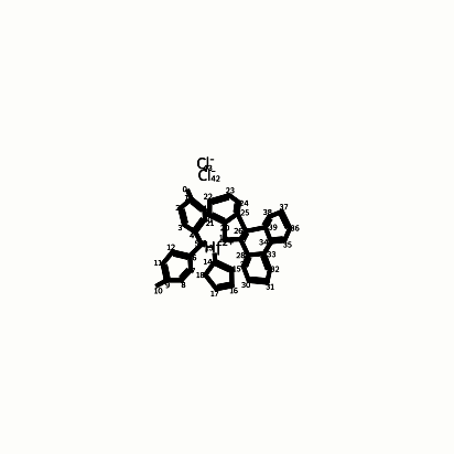 Cc1ccc([C](c2ccc(C)cc2)=[Hf+2]([C]2=CC=CC2)[CH]2c3ccccc3-c3c2c2ccccc2c2ccccc32)cc1.[Cl-].[Cl-]